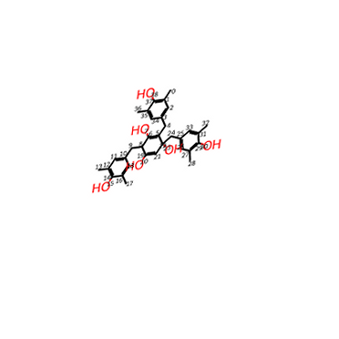 Cc1cc(CC2=C(O)C(Cc3cc(C)c(O)c(C)c3)C(O)=CC2(O)Cc2cc(C)c(O)c(C)c2)cc(C)c1O